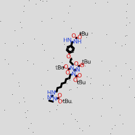 CC(C)(C)OC(=O)/N=C(/N(CCCCCCCCNC1=NCCN1C(=O)OC(C)(C)C)C(=O)OC(C)(C)C)N(CCCOc1ccc(C(=N)NC(=O)OC(C)(C)C)cc1)C(=O)OC(C)(C)C